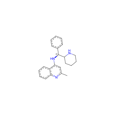 Cc1cc(N[C@@H](c2ccccc2)C2CCCCN2)c2ccccc2n1